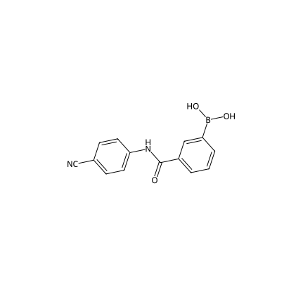 N#Cc1ccc(NC(=O)c2cccc(B(O)O)c2)cc1